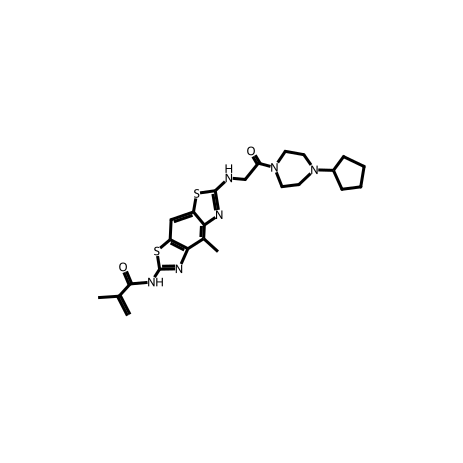 C=C(C)C(=O)Nc1nc2c(C)c3nc(NCC(=O)N4CCN(C5CCCC5)CC4)sc3cc2s1